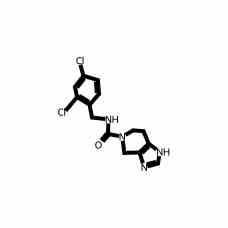 O=C(NCc1ccc(Cl)cc1Cl)N1CCc2[nH]cnc2C1